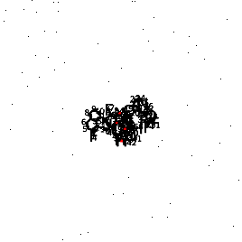 C#Cc1c(F)ccc2cccc(-c3nc4c5c(nc(OC[C@@]67CCCN6C[C@@H](OC(F)(F)F)C7)nc5c3F)N3C[C@H]5CC[C@@H]([C@H]3CC4)N5C(=O)OC(C)(C)C)c12